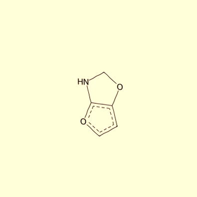 c1cc2c(o1)NCO2